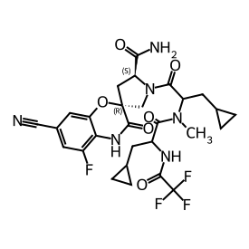 CN(C(=O)C(CC1CC1)NC(=O)C(F)(F)F)C(CC1CC1)C(=O)N1C[C@@]2(C[C@H]1C(N)=O)Oc1cc(C#N)cc(F)c1NC2=O